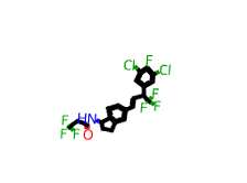 O=C(CC(F)(F)F)NC1CCc2cc(/C=C/C(c3cc(Cl)c(F)c(Cl)c3)C(F)(F)F)ccc21